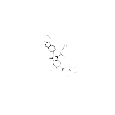 CCOC(=O)c1c2n(c(=O)n1-c1ccc3c(cnn3C[C@@H](C)O)c1)CC(C)N(C(=O)OC(C)(C)C)C2